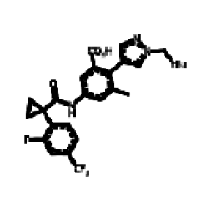 Cc1cc(NC(=O)C2(c3ccc(C(F)(F)F)cc3F)CC2)cc(C(=O)O)c1-c1cnn(CC(C)(C)C)c1